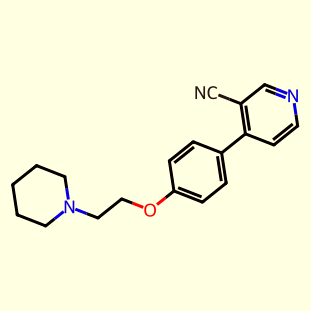 N#Cc1cnccc1-c1ccc(OCCN2CCCCC2)cc1